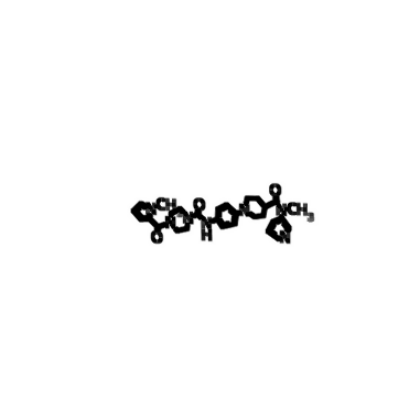 CN(C(=O)C1CCN(c2ccc(NC(=O)N3CCN(C(=O)c4cccn4C)CC3)cc2)CC1)c1cccnc1